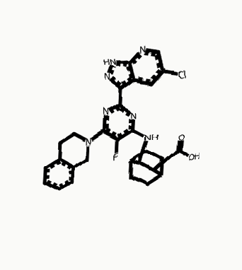 O=C(O)C1C2CCC(CC2)C1Nc1nc(-c2n[nH]c3ncc(Cl)cc23)nc(N2CCc3ccccc3C2)c1F